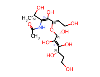 CC(=O)N/C(=C(/O)[C@@H](CCO)O[C@H](O)/C(O)=C(\O)[C@@H](O)CCO)[C@H](C)O